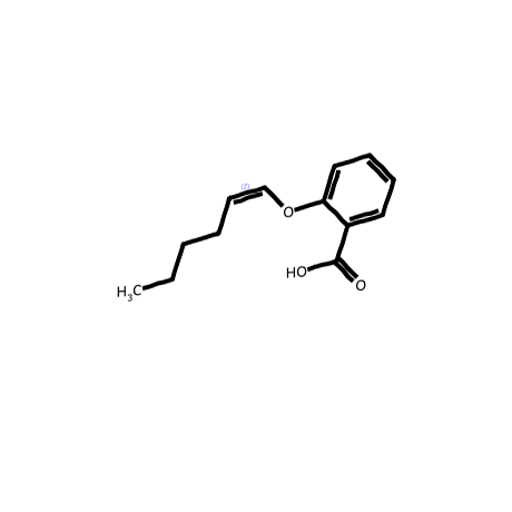 CCCC/C=C\Oc1ccccc1C(=O)O